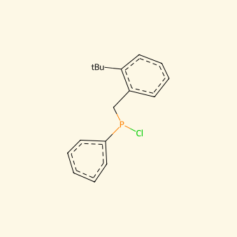 CC(C)(C)c1ccccc1CP(Cl)c1ccccc1